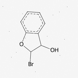 OC1c2ccccc2OC1Br